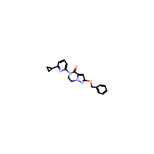 O=C1c2cc(OCc3ccccc3)nn2CCN1c1cccc(C2CC2)n1